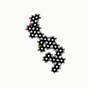 c1ccc2cc(-c3c4ccccc4c(-c4ccc5c(-c6ccc(-c7c8ccccc8c(-c8ccc(-c9ccc(-c%10c%11ccccc%11c(-c%11cccc%12oc%13c(-c%14cccc%15ccccc%14%15)cccc%13c%11%12)c%11ccccc%10%11)cc9)cc8)c8cc(-c9cccc%10sc%11ccccc%11c9%10)ccc78)cc6)cccc5c4)c4cc(-c5cccc6ccccc56)ccc34)ccc2c1